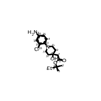 CCC(C)(C)OC(=O)CC1(O)CCN(c2ccc(N)cc2Cl)CC1